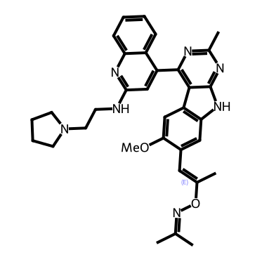 COc1cc2c(cc1/C=C(\C)ON=C(C)C)[nH]c1nc(C)nc(-c3cc(NCCN4CCCC4)nc4ccccc34)c12